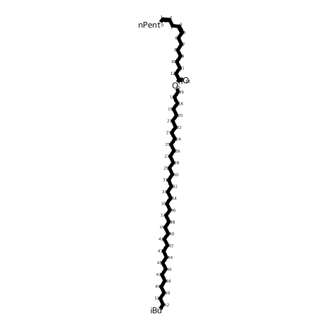 CCCCC/C=C\C/C=C\CCCCCCCC(=O)OCCCCCCCCCCCCCCCCCCCCCCCCCCCCCCCCCCCCCC(C)CC